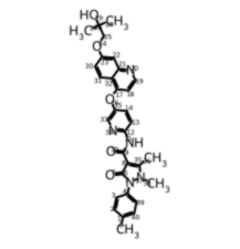 Cc1ccc(-n2c(=O)c(C(=O)Nc3ccc(Oc4ccnc5cc(OCC(C)(C)O)ccc45)cn3)c(C)n2C)cc1